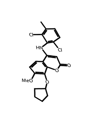 COc1ccc2c(Nc3c(Cl)ccc(C)c3Cl)cc(=O)oc2c1OC1CCCC1